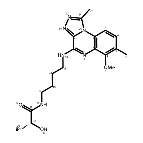 COc1c(C)ccc2c1nc(NCCCCNC(=O)[C@H](O)C(C)C)c1nnc(C)n12